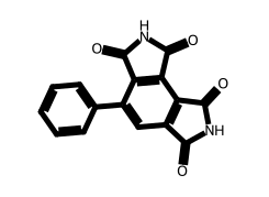 O=c1[nH]c(=O)c2c1cc(-c1ccccc1)c1c(=O)[nH]c(=O)c12